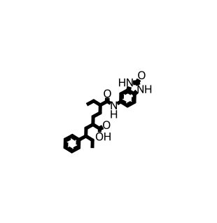 CCC(CCC(CC(CC)c1ccccc1)C(=O)O)C(=O)Nc1ccc2[nH]c(=O)[nH]c2c1